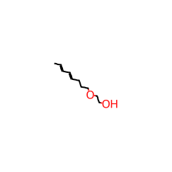 CC=CC=CCCCOCCO